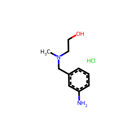 CN(CCO)Cc1cccc(N)c1.Cl